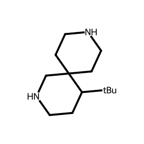 CC(C)(C)C1CCNCC12CCNCC2